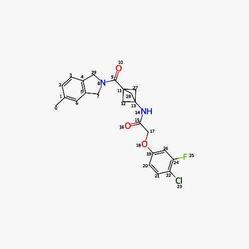 Cc1ccc2c(c1)CN(C(=O)C13CC(NC(=O)COc4ccc(Cl)c(F)c4)(C1)C3)C2